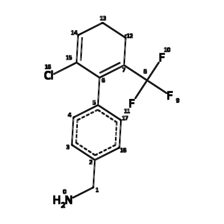 NCc1ccc(C2=C(C(F)(F)F)[CH]CC=C2Cl)cc1